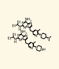 CCC(CC)Nc1nc(N)c2ncc(Cc3cnc(N4CCC(N(C)C)CC4)c(C)c3)n2n1.CCC(CC)Nc1nc(N)c2ncc(Cc3cnc(N4CCNCC4)c(C)c3)n2n1